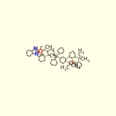 CC(C)(C)c1ccc([Si](c2ccccc2)(c2ccccc2)c2ccc(C(C)(C)C)c(-c3cccc4c3oc3nc5ccccc5n34)c2)cc1-c1cccc2c1Sc1ccccc1C2(C)C